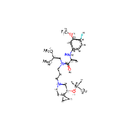 COC(CN(CCCN1CCC2(CC2)C(O[Si](C)(C)C(C)(C)C)C1)C(=O)C(C)Nc1ccc(F)c(OC(F)(F)F)c1)OC